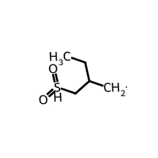 [CH2]C(CC)C[SH](=O)=O